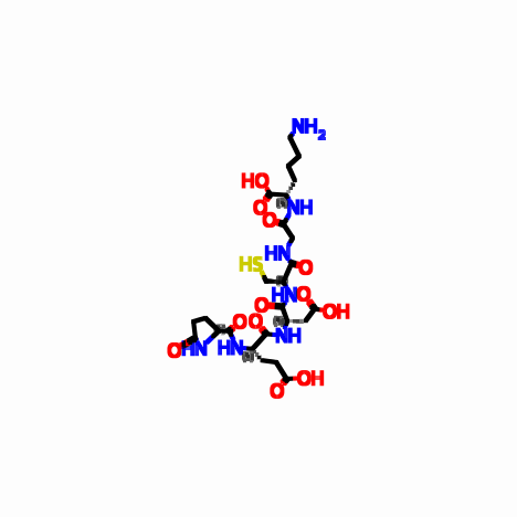 NCCCC[C@H](NC(=O)CNC(=O)[C@H](CS)NC(=O)[C@H](CC(=O)O)NC(=O)[C@H](CCC(=O)O)NC(=O)[C@@H]1CCC(=O)N1)C(=O)O